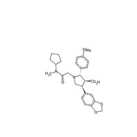 COc1ccc([C@@H]2[C@@H](C(=O)O)[C@@H](c3ccc4c(c3)OCO4)CN2CC(=O)N(C)C2CCCC2)cc1